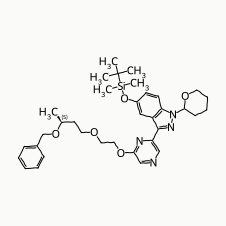 C[C@@H](CCOCCOc1cncc(-c2nn(C3CCCCO3)c3ccc(O[Si](C)(C)C(C)(C)C)cc23)n1)OCc1ccccc1